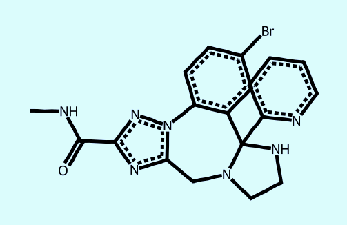 CNC(=O)c1nc2n(n1)-c1ccc(Br)cc1C1(c3ccccn3)NCCN1C2